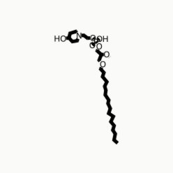 CCCCCCCCCCCCCCCCCCOCC(COP(=O)(O)OCCN1CCC(O)CC1)OC